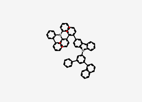 c1ccc(-c2cc(-c3cccc4ccccc34)cc(-n3c4ccccc4c4cc(-c5ccccc5-c5ccccc5N(c5ccccc5)c5ccccc5-c5ccccc5)ccc43)c2)cc1